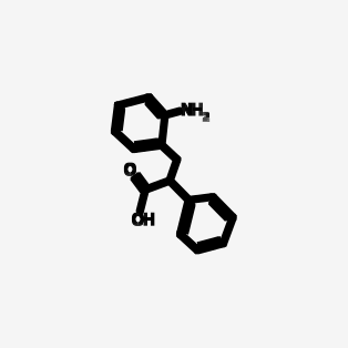 Nc1ccccc1CC(C(=O)O)c1ccccc1